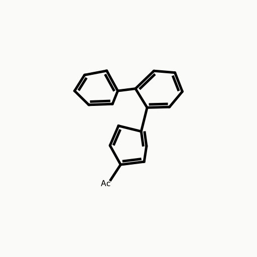 CC(=O)c1ccc(-c2ccccc2-c2ccccc2)cc1